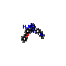 Nc1nccn2c(C3CCC(CN4CCC4)CC3)nc(-c3cccc(OCc4ccccc4)c3)c12